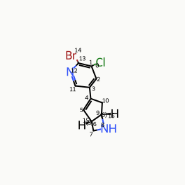 Clc1cc(C2=C[C@H]3CN[C@H]3C2)cnc1Br